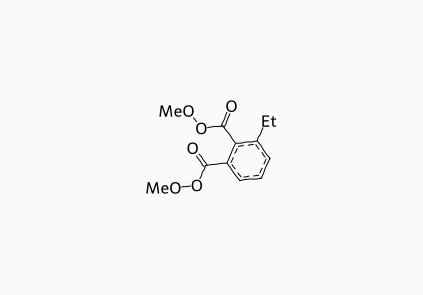 CCc1cccc(C(=O)OOC)c1C(=O)OOC